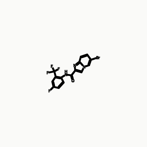 O=C(Nc1ccc(F)cc1C(F)(F)F)c1cn2cc(Br)ccc2n1